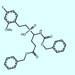 COc1cc(F)ccc1CCP(=O)(O)C(CCC(=O)OCc1ccccc1)NC(=O)OCc1ccccc1